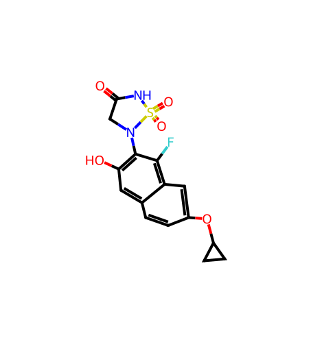 O=C1CN(c2c(O)cc3ccc(OC4CC4)cc3c2F)S(=O)(=O)N1